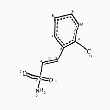 NS(=O)(=O)/C=C/c1ccccc1Cl